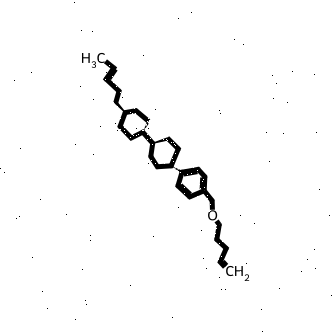 C=CCCCOCc1ccc([C@H]2CC[C@H]([C@H]3CC[C@H](CCC=CC)CC3)CC2)cc1